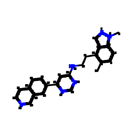 Cc1ccc2c(cnn2C)c1CCNc1cc(-c2ccc3ccncc3c2)ncn1